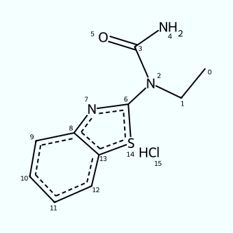 CCN(C(N)=O)c1nc2ccccc2s1.Cl